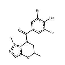 CC1CN(C(=O)c2cc(Br)c(O)c(Br)c2)c2c(cnn2C)O1